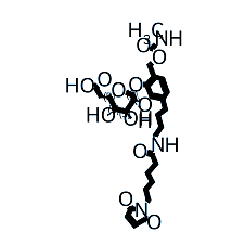 CNC(=O)OCc1ccc(CCCCNC(=O)CCCCCN2C(=O)C=CC2=O)cc1O[C@@H]1O[C@H](CC(=O)O)[C@@H](O)[C@H](O)[C@H]1O